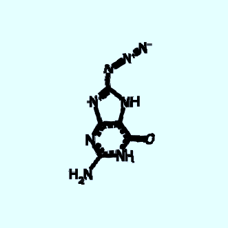 [N-]=[N+]=NC1=[N+]c2nc(N)[nH]c(=O)c2N1